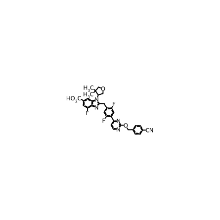 CC1(C)COCC1n1c(Cc2cc(F)c(-c3ccnc(OCc4ccc(C#N)cc4)n3)cc2F)nc2c(F)cc(C(=O)O)cc21